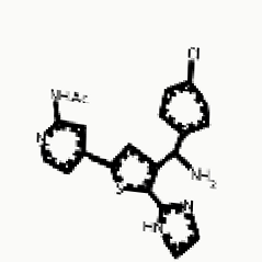 CC(=O)Nc1cc(-c2cc(C(N)c3ccc(Cl)cc3)c(-c3ncc[nH]3)s2)ccn1